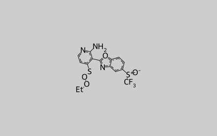 CCOOSc1ccnc(N)c1-c1nc2cc([S+]([O-])C(F)(F)F)ccc2o1